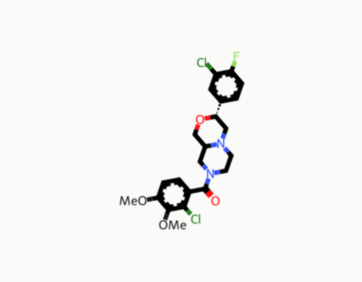 COc1ccc(C(=O)N2CCN3C[C@@H](c4ccc(F)c(Cl)c4)OCC3C2)c(Cl)c1OC